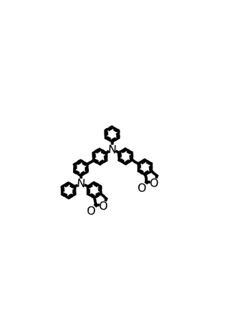 O=C1OCc2ccc(-c3ccc(N(c4ccccc4)c4ccc(-c5cccc(N(c6ccccc6)c6ccc7c(c6)C(=O)OC7)c5)cc4)cc3)cc21